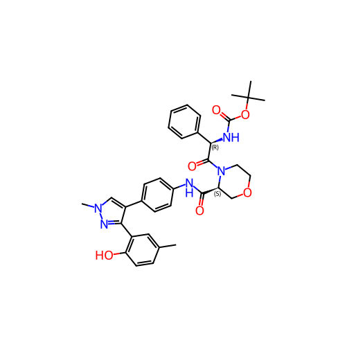 Cc1ccc(O)c(-c2nn(C)cc2-c2ccc(NC(=O)[C@@H]3COCCN3C(=O)[C@H](NC(=O)OC(C)(C)C)c3ccccc3)cc2)c1